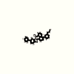 CCCc1cccc(-c2ccc3c4c2cccc4c(=O)n2c4cc(-c5ccccc5)ccc4nc32)c1